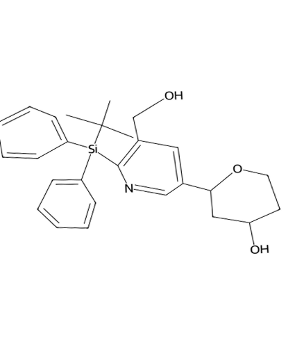 CC(C)(C)[Si](c1ccccc1)(c1ccccc1)c1ncc(C2CC(O)CCO2)cc1CO